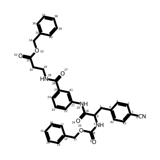 N#Cc1ccc(CC(NC(=O)OCc2ccccc2)C(=O)Nc2cccc(C(=O)NCCC(=O)OCc3ccccc3)c2)cc1